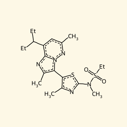 CCC(CC)c1cc(C)nn2c(-c3sc(N(C)S(=O)(=O)CC)nc3C)c(C)nc12